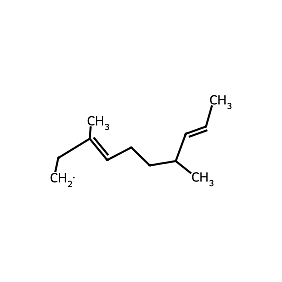 [CH2]CC(C)=CCCC(C)C=CC